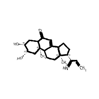 C=CC(=N)[C@H]1CCC2C3=CC(=O)C4C[C@@H](O)[C@@H](O)C[C@]4(C)C3CC[C@@]21C